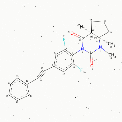 CN1C(=O)N(c2c(F)cc(C#Cc3ccccc3)cc2F)C(=O)[C@H]2CCC[C@]21C